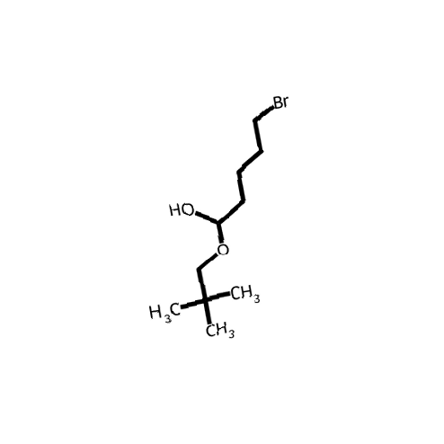 CC(C)(C)COC(O)CCCCBr